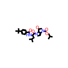 CC(C)COC(=O)N1CC(=O)C2C1=CCN2C(=O)C(CC(C)C)NC(=O)c1ccc(C(C)(C)C)cc1